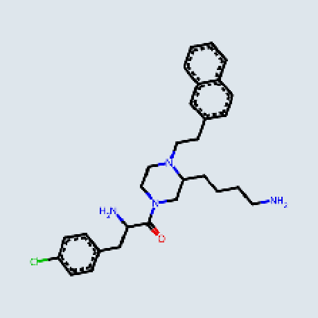 NCCCCC1CN(C(=O)C(N)Cc2ccc(Cl)cc2)CCN1CCc1ccc2ccccc2c1